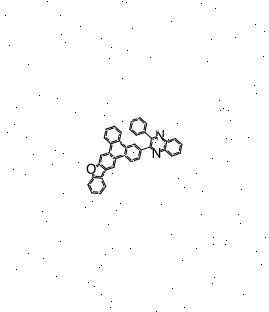 c1ccc(-c2nc3ccccc3nc2-c2ccc3c(c2)c2ccccc2c2cc4oc5ccccc5c4cc32)cc1